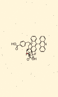 O=C(O)c1ccc(C[N+]2(Cc3ccc(C(=O)O)cc3)C3=CC(C(F)(F)F)(C(F)(F)F)C=CC3=C(c3c4ccccc4nc4ccccc34)c3ccccc32)cc1